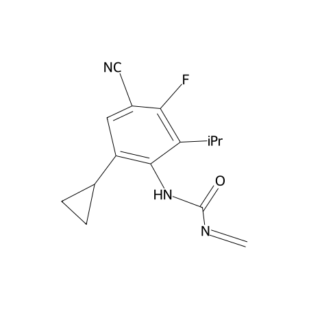 C=NC(=O)Nc1c(C2CC2)cc(C#N)c(F)c1C(C)C